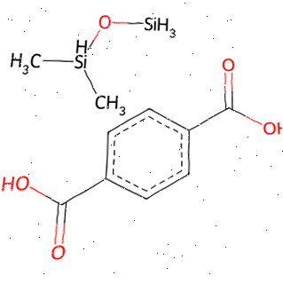 C[SiH](C)O[SiH3].O=C(O)c1ccc(C(=O)O)cc1